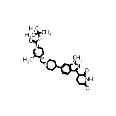 C[C@H]1CN(C(=O)OC(C)(C)C)CC[C@H]1CN1CCC(c2ccc3c(C4CCC(=O)NC4=O)nn(C)c3c2)CC1